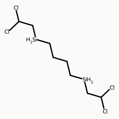 ClC(Cl)C[SiH2]CCCC[SiH2]CC(Cl)Cl